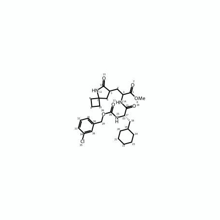 COC(=O)C(CC1CC2(CCC2)NC1=O)NC(=O)[C@H](CC1CCCCC1)NC(=O)OCc1cccc(Cl)c1